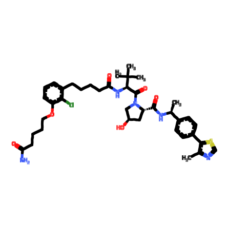 Cc1ncsc1-c1ccc([C@H](C)NC(=O)[C@@H]2C[C@@H](O)CN2C(=O)[C@@H](NC(=O)CCCCc2cccc(OCCCCC(N)=O)c2Cl)C(C)(C)C)cc1